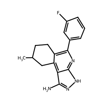 CC1CCc2c(-c3cccc(F)c3)nc3[nH]nc(N)c3c2C1